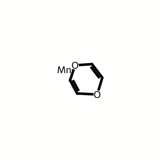 C1=COC=CO1.[Mn]